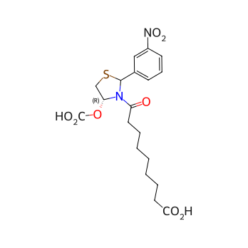 O=C(O)CCCCCCCC(=O)N1C(c2cccc([N+](=O)[O-])c2)SC[C@H]1OC(=O)O